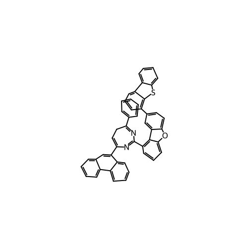 C1=C(c2cc3ccccc3c3ccccc23)N=C(c2cccc3oc4ccc(-c5cccc6c5sc5ccccc56)cc4c23)N=C(c2ccccc2)C1